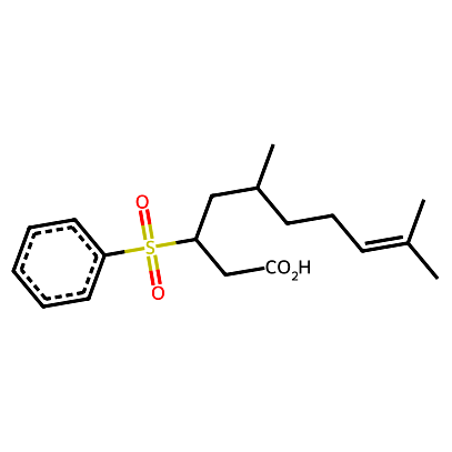 CC(C)=CCCC(C)CC(CC(=O)O)S(=O)(=O)c1ccccc1